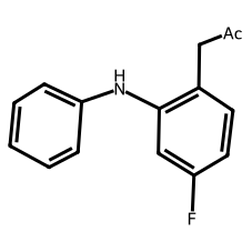 CC(=O)Cc1ccc(F)cc1Nc1ccccc1